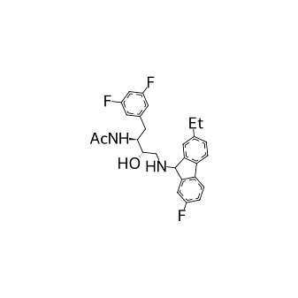 CCc1ccc2c(c1)C(NC[C@H](O)[C@H](Cc1cc(F)cc(F)c1)NC(C)=O)c1cc(F)ccc1-2